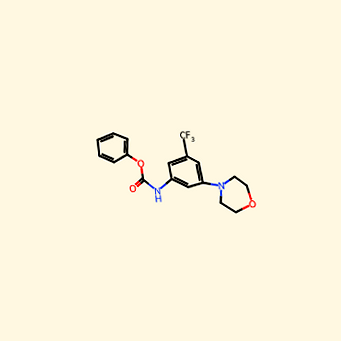 O=C(Nc1cc(N2CCOCC2)cc(C(F)(F)F)c1)Oc1ccccc1